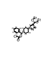 CCOC(OCC)c1cn(C2CCN(C(OC(=O)Cl)c3ccccc3)CC2)nn1